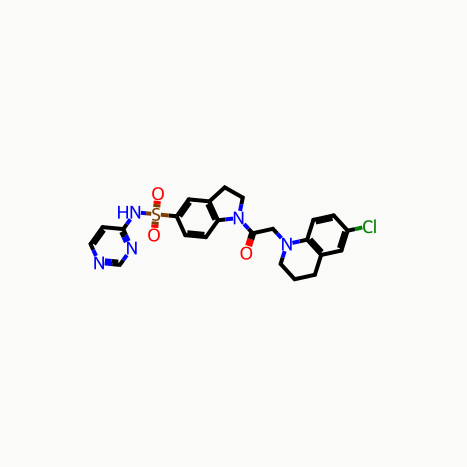 O=C(CN1CCCc2cc(Cl)ccc21)N1CCc2cc(S(=O)(=O)Nc3ccncn3)ccc21